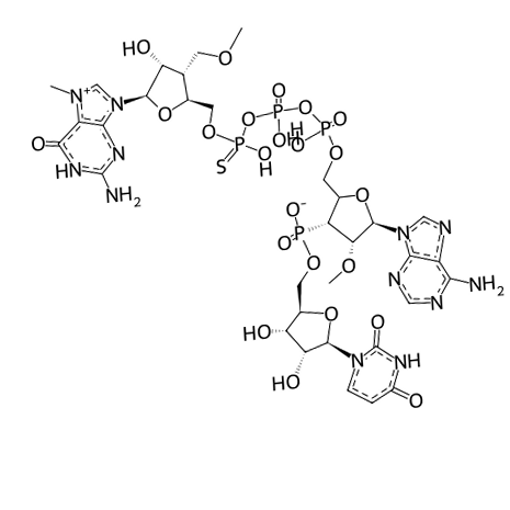 COC[C@H]1[C@@H](O)[C@H](n2c[n+](C)c3c(=O)[nH]c(N)nc32)O[C@@H]1COP(O)(=S)OP(=O)(O)OP(=O)(O)OCC1O[C@@H](n2cnc3c(N)ncnc32)[C@H](OC)[C@@H]1P(=O)([O-])OC[C@H]1O[C@@H](n2ccc(=O)[nH]c2=O)[C@H](O)[C@@H]1O